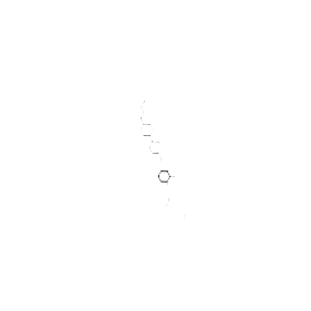 CCCCCC1CCC(C2CCC(COc3ccc(OCCCC)c(F)c3F)OC2)CC1